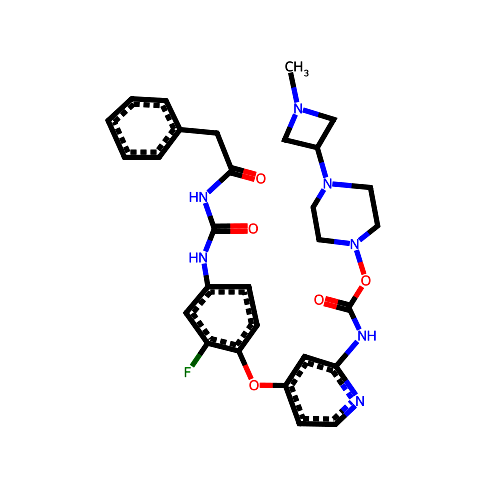 CN1CC(N2CCN(OC(=O)Nc3cc(Oc4ccc(NC(=O)NC(=O)Cc5ccccc5)cc4F)ccn3)CC2)C1